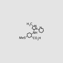 CSc1ccc(Nc2cc(C)nn2-c2ccccn2)c(C(=O)O)c1